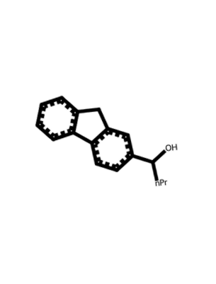 CCCC(O)c1ccc2c(c1)Cc1ccccc1-2